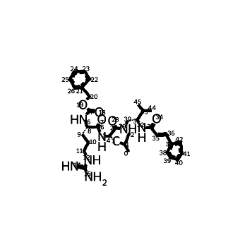 CC(C)C[C@H](NC(=O)[C@H](CCCNC(=N)N)NC(=O)OCc1ccccc1)C(=O)NC[C@@H](NC(=O)/C=C/c1ccccc1)C(C)C